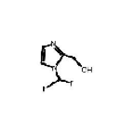 OCc1nccn1C(F)F